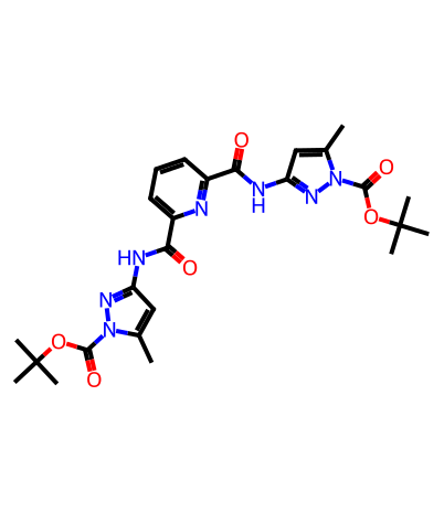 Cc1cc(NC(=O)c2cccc(C(=O)Nc3cc(C)n(C(=O)OC(C)(C)C)n3)n2)nn1C(=O)OC(C)(C)C